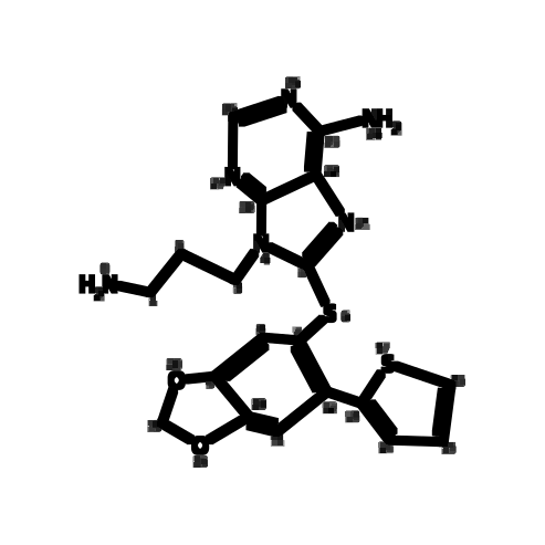 NCCCn1c(Sc2cc3c(cc2-c2cccs2)OCO3)nc2c(N)ncnc21